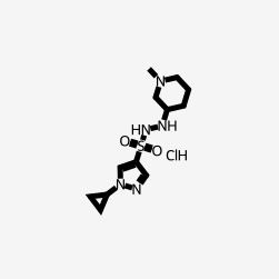 CN1CCCC(NNS(=O)(=O)c2cnn(C3CC3)c2)C1.Cl